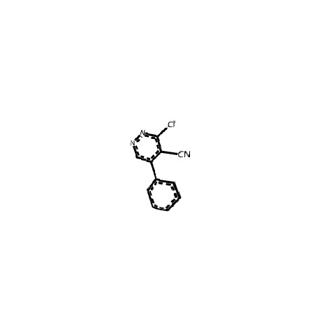 N#Cc1c(-c2ccccc2)cnnc1Cl